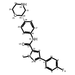 Cn1nc(-c2ccc(F)cc2)cc1C(=O)Nc1ccc([C@H]2CNCCO2)cc1